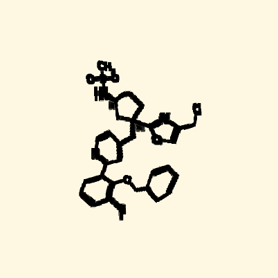 CS(=O)(=O)N[C@H]1CC[C@](Cc2ccnc(-c3cccc(F)c3OCc3ccccc3)c2)(c2nc(CCl)co2)C1